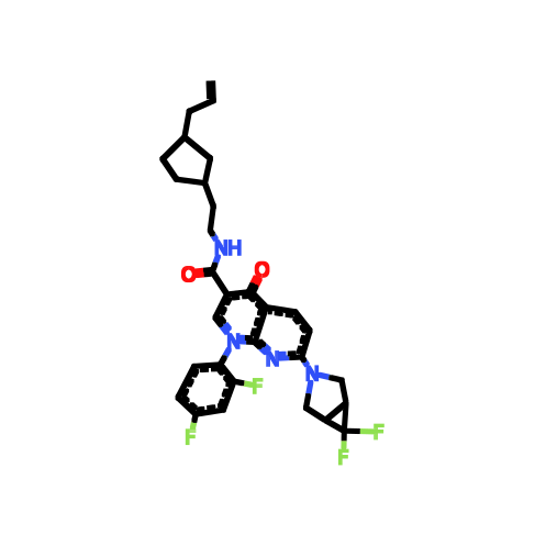 C=CCC1CCC(CCNC(=O)c2cn(-c3ccc(F)cc3F)c3nc(N4CC5C(C4)C5(F)F)ccc3c2=O)C1